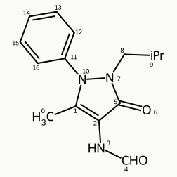 Cc1c(NC=O)c(=O)n(CC(C)C)n1-c1ccccc1